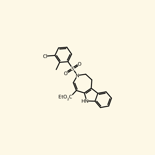 CCOC(=O)C1=CN(S(=O)(=O)c2cccc(Cl)c2C)CCc2c1[nH]c1ccccc21